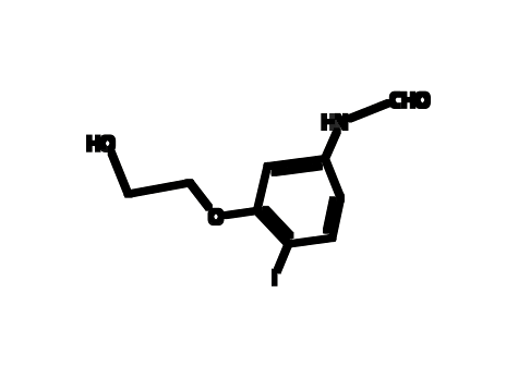 O=CNc1ccc(I)c(OCCO)c1